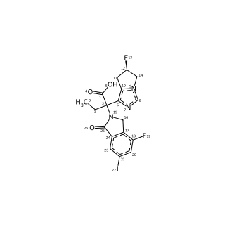 CCC(C(=O)O)(c1ncn2c1C[C@@H](F)C2)N1Cc2c(F)cc(I)cc2C1=O